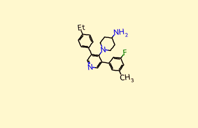 CCc1ccc(-c2cncc(-c3cc(C)cc(F)c3)c2N2CCC(N)CC2)cc1